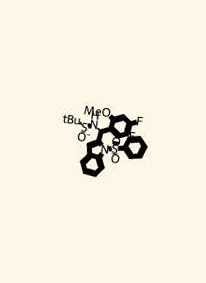 COc1cc(F)c(F)cc1[C@@H](N[S@@+]([O-])C(C)(C)C)c1cc2ccccc2n1S(=O)(=O)c1ccccc1